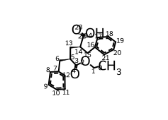 CCOC(=O)[C@@H](Cc1ccccc1)C[C@H](Cc1ccccc1)C(=O)O